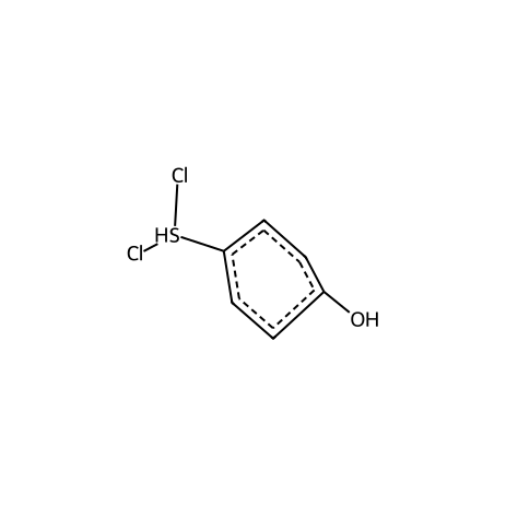 Oc1ccc([SH](Cl)Cl)cc1